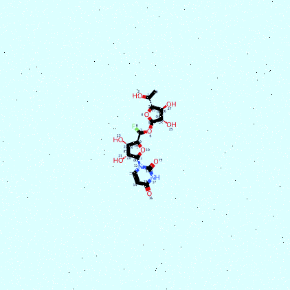 CC(O)[C@H]1OC(OC(F)[C@H]2O[C@@H](n3ccc(=O)[nH]c3=O)[C@H](O)[C@@H]2O)[C@@H](O)[C@@H]1O